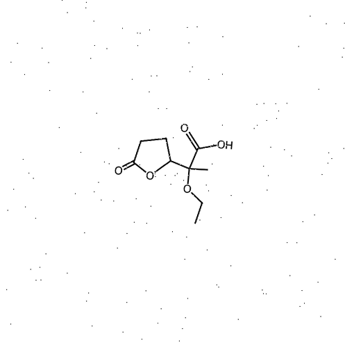 CCOC(C)(C(=O)O)C1CCC(=O)O1